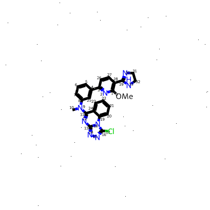 COc1nc(-c2cccc(N(C)c3nc4nnc(Cl)n4c4ccccc34)c2)ccc1C1=NCCN1